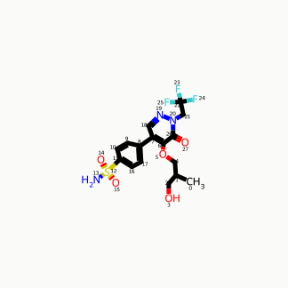 CC(CO)COc1c(-c2ccc(S(N)(=O)=O)cc2)cnn(CC(F)(F)F)c1=O